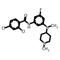 CN1CCC(N(C)c2cc(F)cc(NC(=O)c3ccc(Cl)cc3Cl)c2)CC1